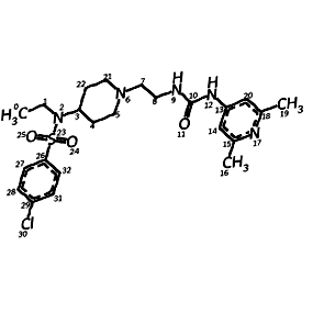 CCN(C1CCN(CCNC(=O)Nc2cc(C)nc(C)c2)CC1)S(=O)(=O)c1ccc(Cl)cc1